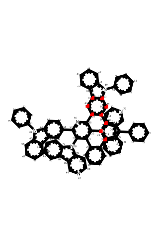 c1ccc(-c2nc(-c3ccccc3)nc(-c3ccccc3-c3c(-n4c5ccccc5c5cnccc54)c(-c4ccc5c(c4)c4ccccc4n5-c4ccccc4)nc(-c4ccc5c(c4)c4ccccc4n5-c4ccccc4)c3-n3c4ccccc4c4cnccc43)n2)cc1